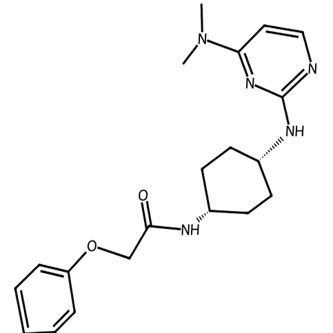 CN(C)c1ccnc(N[C@H]2CC[C@@H](NC(=O)COc3ccccc3)CC2)n1